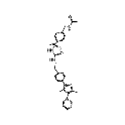 CC(=O)NCc1ccc(S(=O)(=O)NC(=O)NCCc2ccc(-n3nc(C)c(-c4ccccc4)c3C)cc2)cc1